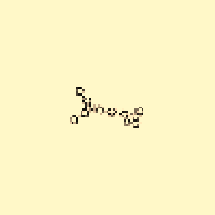 c1ccc(-c2ccc3c(c2)c2cc(-c4ccccc4)ccc2n3-c2ccc(-c3ccc(-c4ccc5c(c4)Oc4cccc6c7ccccc7n-5c46)cc3)cc2)cc1